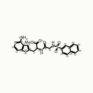 COC(=O)C(Cc1cc2c(N)nccc2s1)NC(=O)CNS(=O)(=O)c1ccc2ccccc2c1